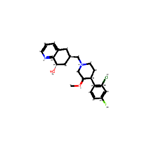 COC1CN(C[C@@H]2Cc3cccnc3[C@@H](O)C2)CCC1c1ccc(F)cc1Cl